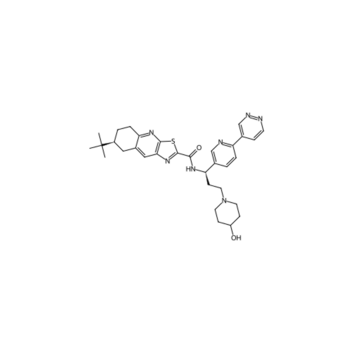 CC(C)(C)[C@H]1CCc2nc3sc(C(=O)N[C@H](CCN4CCC(O)CC4)c4ccc(-c5ccnnc5)nc4)nc3cc2C1